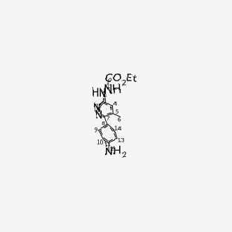 CCOC(=O)NNc1cc(C)c(-c2ccc(N)cc2)nn1